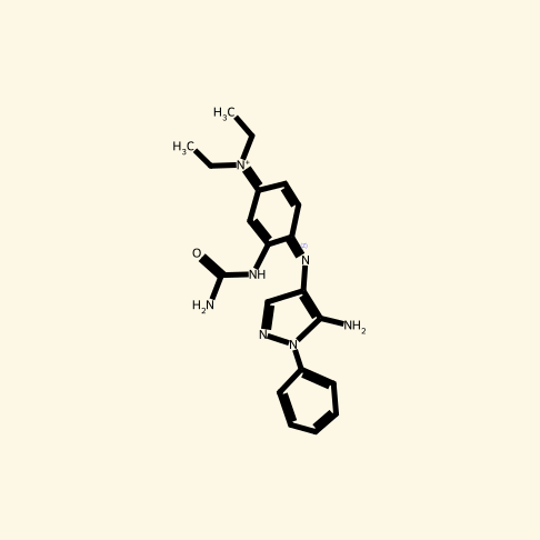 CC[N+](CC)=C1C=C/C(=N/c2cnn(-c3ccccc3)c2N)C(NC(N)=O)=C1